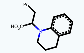 CC(C)CC(C(=O)O)N1CCCc2ccccc21